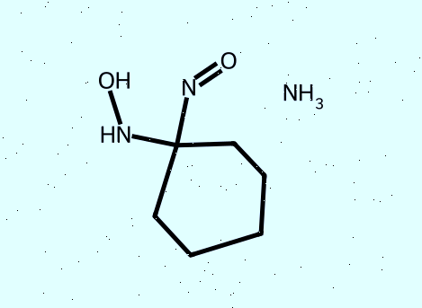 N.O=NC1(NO)CCCCC1